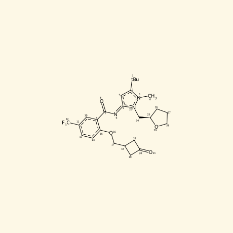 Cn1c(C(C)(C)C)c/c(=N\C(=O)c2cc(C(F)(F)F)ccc2OCC2CC(=O)C2)n1C[C@H]1CCCO1